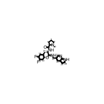 CN1CCCC1C(=O)N[C@@H](Cc1ccc(F)c(F)c1)C(=O)NCc1cnc2[nH]ccc2c1